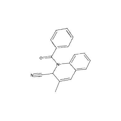 CC1=Cc2ccccc2N(C(=O)c2ccccc2)C1C#N